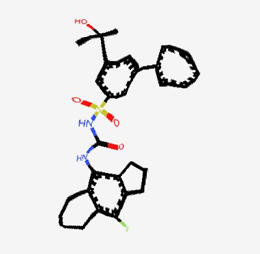 CC(C)(O)c1cc(-c2ccccc2)cc(S(=O)(=O)NC(=O)Nc2c3c(c(F)c4c2CCC4)CCC3)c1